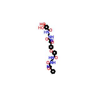 O=C(NCCNC(=O)c1cc(-c2ccccc2)on1)c1cccc(Oc2ccc(-c3cc(C(=O)NCCNC(=O)c4ccc(O)c(O)c4)no3)cc2)c1